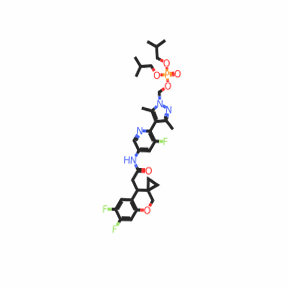 Cc1nn(COP(=O)(OCC(C)C)OCC(C)C)c(C)c1-c1ncc(NC(=O)CC2c3cc(F)c(F)cc3OCC23CC3)cc1F